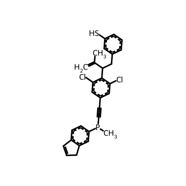 C=C(C)C(Cc1cccc(S)c1)c1c(Cl)cc(C#CP(C)c2ccc3c(c2)CC=C3)cc1Cl